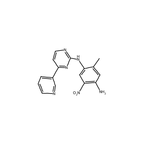 Cc1cc(N)c([N+](=O)[O-])cc1Nc1nccc(-c2cccnc2)n1